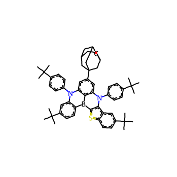 CC(C)(C)c1ccc(N2c3cc(C(C)(C)C)ccc3B3c4sc5ccc(C(C)(C)C)cc5c4N(c4ccc(C(C)(C)C)cc4)c4cc(C56CC7CCC(CC(C7)C5)C6)cc2c43)cc1